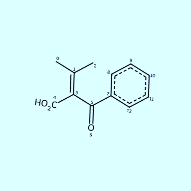 CC(C)=C(C(=O)O)C(=O)c1ccccc1